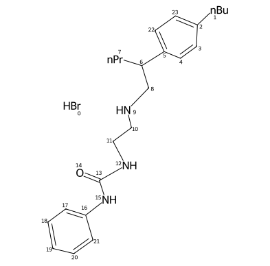 Br.CCCCc1ccc(C(CCC)CNCCNC(=O)Nc2ccccc2)cc1